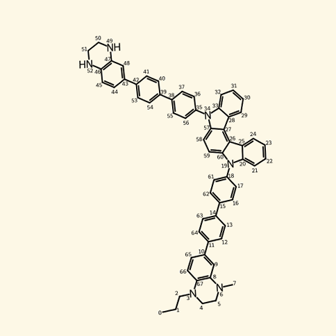 CCCN1CCN(C)c2cc(-c3ccc(-c4ccc(-n5c6ccccc6c6c7c8ccccc8n(-c8ccc(-c9ccc(-c%10ccc%11c(c%10)NCCN%11)cc9)cc8)c7ccc65)cc4)cc3)ccc21